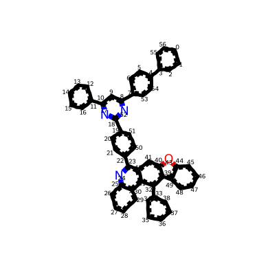 c1ccc(-c2ccc(-c3cc(-c4ccccc4)nc(-c4ccc(-c5nc6ccccc6c6c(-c7ccccc7)c7c(cc56)oc5ccccc57)cc4)n3)cc2)cc1